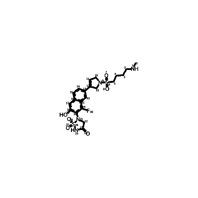 CNCCCCS(=O)(=O)N1CC=C(c2ccc3cc(O)c(N4CC(=O)NS4(=O)=O)c(F)c3c2)C1